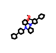 COC(=O)c1cc(-c2ccccc2)ccc1N1c2ccccc2N(c2ccc(-c3ccccc3)cc2)c2ccccc21